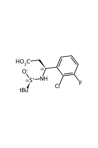 CC(C)(C)[S@@+]([O-])N[C@@H](CC(=O)O)c1cccc(F)c1Cl